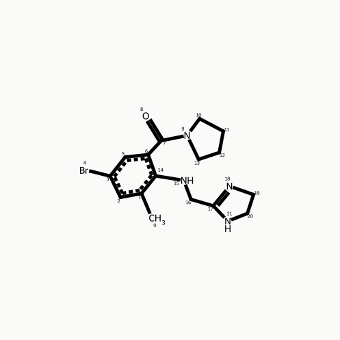 Cc1cc(Br)cc(C(=O)N2CCCC2)c1NCC1=NCCN1